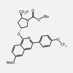 COc1ccc2c(O[C@@H]3C[C@@H](C(=O)O)N(C(=O)OC(C)(C)C)C3)nc(-c3ccc(OC(F)(F)F)cc3)cc2c1